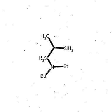 CCC(C)N(CC)[SiH2]C(C)[SiH3]